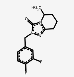 O=C(O)C1CCCc2nn(Cc3ccc(F)c(F)c3)c(=O)n21